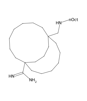 CCCCCCCCNCC12CCCCCCCC(C(=N)N)(CCCCCC1)CCC2